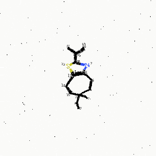 CCC1(C)C=Cc2nc(C(C)C)sc2C=C1